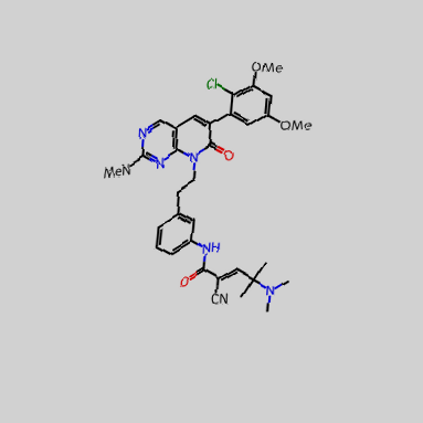 CNc1ncc2cc(-c3cc(OC)cc(OC)c3Cl)c(=O)n(CCc3cccc(NC(=O)C(C#N)=CC(C)(C)N(C)C)c3)c2n1